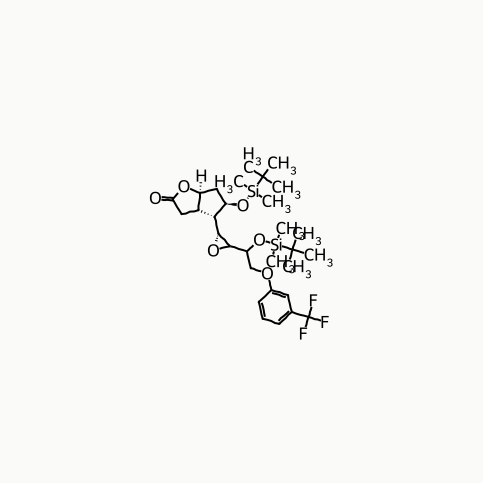 CC(C)(C)[Si](C)(C)OC(COc1cccc(C(F)(F)F)c1)C1O[C@@H]1[C@@H]1C2CC(=O)O[C@H]2C[C@H]1O[Si](C)(C)C(C)(C)C